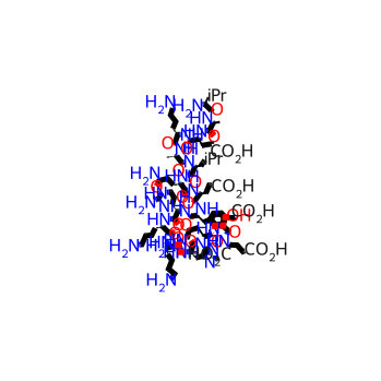 CC(C)C[C@H](NC(=O)[C@H](C)NC(=O)[C@H](CCCCN)NC(=O)[C@H](CCC(=O)O)NC(=O)[C@H](C)NC(=O)[C@@H](N)C(C)C)C(=O)N[C@@H](CCC(N)=O)C(=O)N[C@@H](CCC(=O)O)C(=O)N[C@@H](Cc1ccc(O)cc1)C(=O)N[C@@H](CCCNC(=N)N)C(=O)N[C@@H](CCCCN)C(=O)N[C@@H](CCCCN)C(=O)N[C@@H](Cc1c[nH]cn1)C(=O)N[C@@H](CCCNC(=N)N)C(=O)N[C@@H](CCC(=O)O)C(=O)N[C@@H](CCC(=O)O)C(=O)O